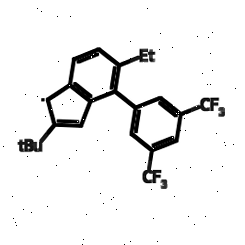 CCc1ccc2c(c1-c1cc(C(F)(F)F)cc(C(F)(F)F)c1)C=C(C(C)(C)C)[CH]2